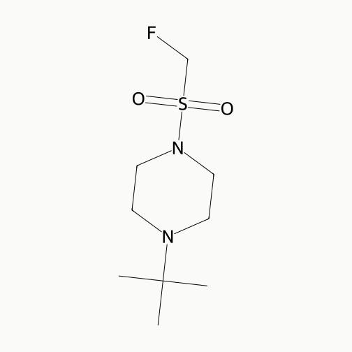 CC(C)(C)N1CCN(S(=O)(=O)CF)CC1